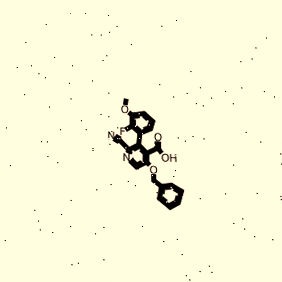 COc1cccc(-c2c(C#N)ncc(OCc3ccccc3)c2C(=O)O)c1F